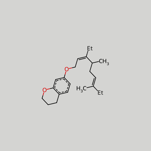 CCC(C)=CCC(C)C(=CCOc1ccc2c(c1)OCCC2)CC